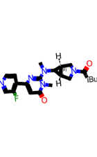 CCC(C)C(=O)N1C[C@@H]2C(N(C)c3nc(-c4ccncc4F)cc(=O)n3C)[C@@H]2C1